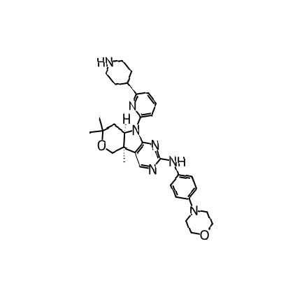 CC1(C)C[C@H]2N(c3cccc(C4CCNCC4)n3)c3nc(Nc4ccc(N5CCOCC5)cc4)ncc3[C@@]2(C)CO1